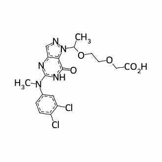 CC(OCCOCC(=O)O)n1ncc2nc(N(C)c3ccc(Cl)c(Cl)c3)[nH]c(=O)c21